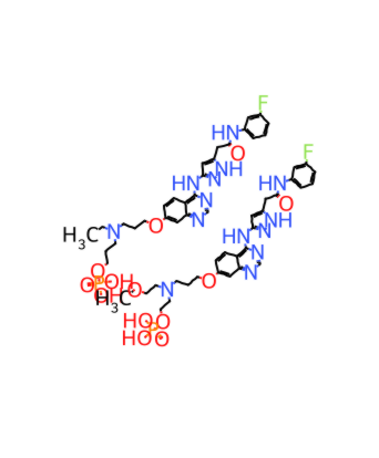 CCN(CCCOc1ccc2c(Nc3cc(CC(=O)Nc4cccc(F)c4)[nH]n3)ncnc2c1)CCCOP(=O)(O)O.COCCN(CCCOc1ccc2c(Nc3cc(CC(=O)Nc4cccc(F)c4)[nH]n3)ncnc2c1)CCOP(=O)(O)O